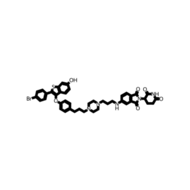 O=C1CCC(N2C(=O)c3ccc(NCCCN4CCN(CCCc5ccc(Oc6c(-c7ccc(Br)cc7)sc7cc(O)ccc67)cc5)CC4)cc3C2=O)C(=O)N1